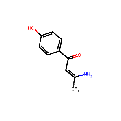 NC(=CC(=O)c1ccc(O)cc1)C(F)(F)F